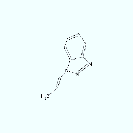 B/C=C/n1nnc2ccccc21